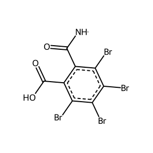 [NH]C(=O)c1c(Br)c(Br)c(Br)c(Br)c1C(=O)O